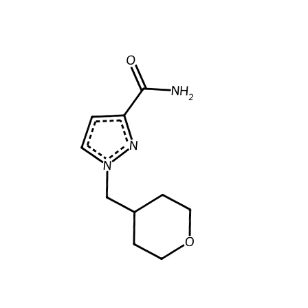 NC(=O)c1ccn(CC2CCOCC2)n1